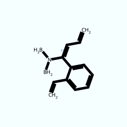 BN(B)/C(=C/C=C)c1ccccc1C=C